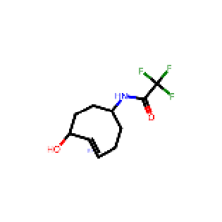 O=C(NC1CC/C=C/C(O)CC1)C(F)(F)F